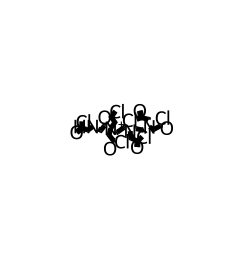 O=C(Cl)CNCC[N+](CCN(CCN(CC(=O)Cl)CC(=O)Cl)CC(=O)Cl)(CC(=O)Cl)CC(=O)Cl